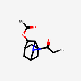 CC(C)(C)C(=O)OC1C2CC3CC(C2)C1N(C(=O)CC(F)(F)F)C3